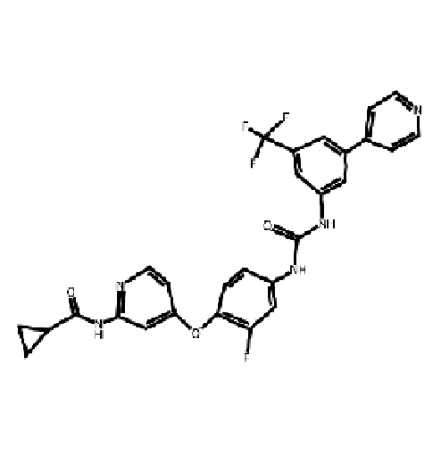 O=C(Nc1cc(-c2ccncc2)cc(C(F)(F)F)c1)Nc1ccc(Oc2ccnc(NC(=O)C3CC3)c2)c(F)c1